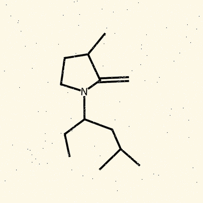 C=C1C(C)CCN1C(CC)CC(C)C